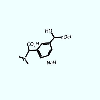 CCCCCCCCC(O)c1cccc(C(C(=O)O)N(C)C)c1.[NaH]